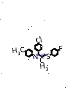 CC(=C\Sc1ccc(F)cc1)/C(=N/c1ccc(C)cc1)c1ccc(Cl)cc1